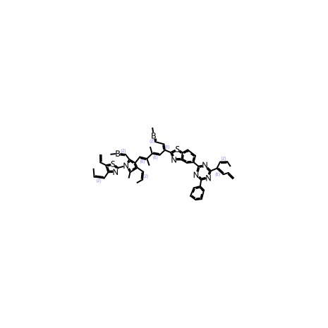 C=C/C=C(\C=C/C)c1nc(-c2ccccc2)nc(-c2ccc3sc(C(/C=C(C)/C(C)=C/c4c(/C=C\C)c(C)n(-c5nc(/C=C\C)c(C=C)s5)c4/C=B\C)=C/C=B\C)nc3c2)n1